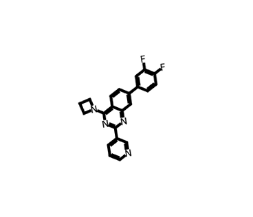 Fc1ccc(-c2ccc3c(N4CCC4)nc(-c4cccnc4)nc3c2)cc1F